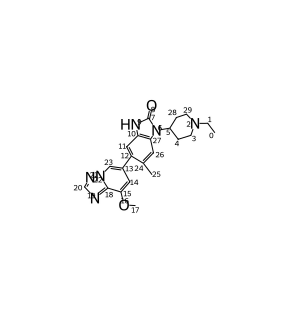 CCN1CCC(n2c(=O)[nH]c3cc(-c4cc(OC)c5ncnn5c4)c(C)cc32)CC1